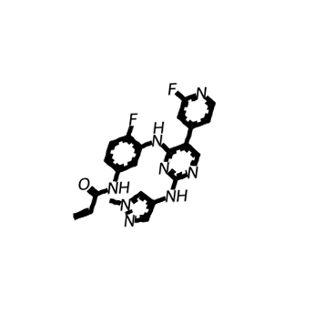 C=CC(=O)Nc1ccc(F)c(Nc2nc(Nc3cnn(C)c3)ncc2-c2ccnc(F)c2)c1